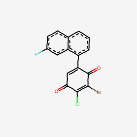 O=C1C=C(c2cccc3ccc(F)cc23)C(=O)C(Br)=C1Cl